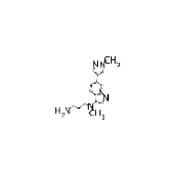 CN(CCCN)c1cnn2cc(-c3cnn(C)c3)ccc12